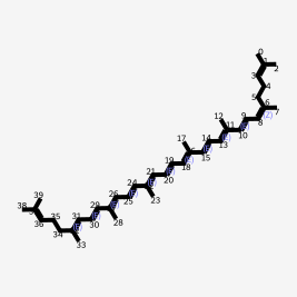 CC(C)=CCC\C(C)=C/C=C/C(C)=C/C=C/C(C)=C/C=C/C=C(C)/C=C/C=C(C)/C=C/C=C(\C)CCC=C(C)C